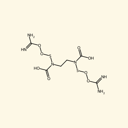 N=C(N)OOSN(CCN(SOOC(=N)N)C(=O)O)C(=O)O